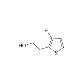 OCCc1sccc1F